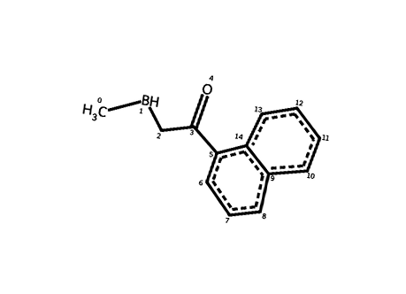 CBCC(=O)c1cccc2ccccc12